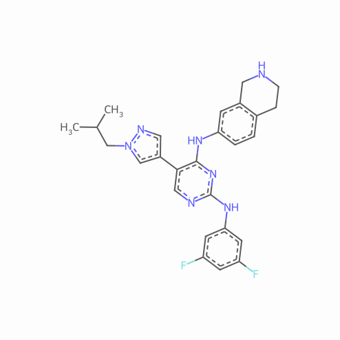 CC(C)Cn1cc(-c2cnc(Nc3cc(F)cc(F)c3)nc2Nc2ccc3c(c2)CNCC3)cn1